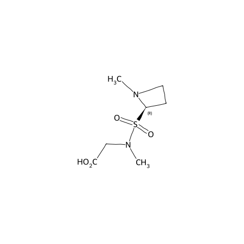 CN1CC[C@H]1S(=O)(=O)N(C)CC(=O)O